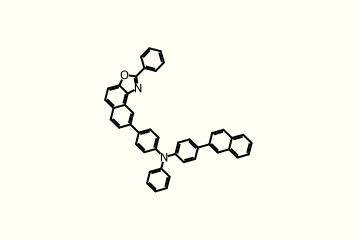 c1ccc(-c2nc3c(ccc4ccc(-c5ccc(N(c6ccccc6)c6ccc(-c7ccc8ccccc8c7)cc6)cc5)cc43)o2)cc1